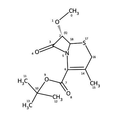 CO[C@H]1C(=O)N2C(C(=O)OC(C)(C)C)=C(C)CSC12